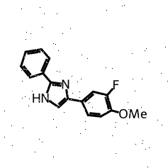 COc1ccc(-c2c[nH]c(-c3ccccc3)n2)cc1F